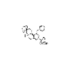 COC(=O)C1=C[C@@H](Cc2ccccc2)C2=C3CCC4(C[C@H]3CCC2=C1)OCCO4